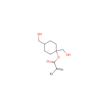 C=C(CC)C(=O)OC1(CO)CCC(CO)CC1